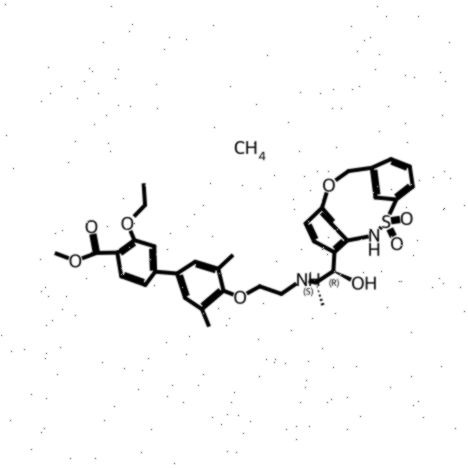 C.CCOc1cc(-c2cc(C)c(OCCN[C@@H](C)[C@H](O)c3ccc4cc3NS(=O)(=O)c3cccc(c3)CO4)c(C)c2)ccc1C(=O)OC